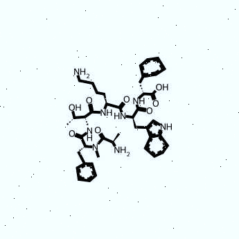 C[C@H](O)[C@@H](NC(=O)[C@@H](Cc1ccccc1)N(C)C(=O)[C@@H](C)N)C(=O)N[C@@H](CCCCN)C(=O)N[C@H](Cc1c[nH]c2ccccc12)C(=O)N[C@H](Cc1ccccc1)C(=O)O